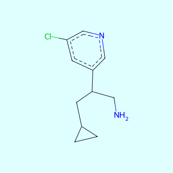 NCC(CC1CC1)c1cncc(Cl)c1